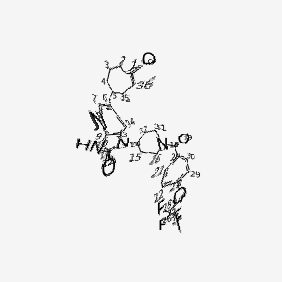 O=C1CCCC(c2cnc3[nH]c(=O)n(C4CCN(C(=O)c5ccc(OC(F)(F)F)cc5)CC4)c3c2)CC1